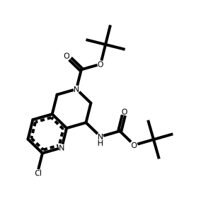 CC(C)(C)OC(=O)NC1CN(C(=O)OC(C)(C)C)Cc2ccc(Cl)nc21